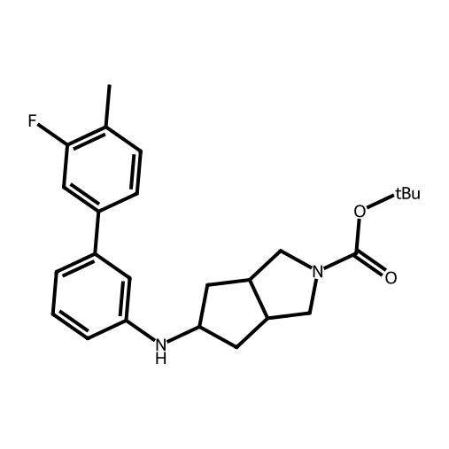 Cc1ccc(-c2cccc(NC3CC4CN(C(=O)OC(C)(C)C)CC4C3)c2)cc1F